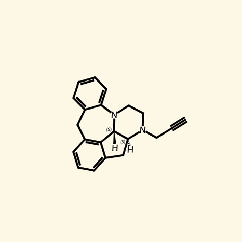 C#CCN1CCN2c3ccccc3Cc3cccc4c3[C@H]2[C@@H]1C4